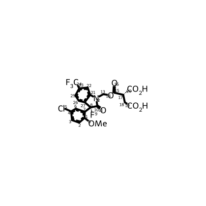 COc1ccc(Cl)cc1[C@]1(F)C(=O)N(COC(=O)[C@@H](CC(=O)O)C(=O)O)c2cc(C(F)(F)F)ccc21